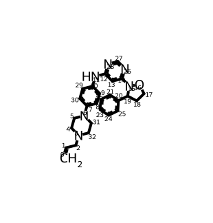 C=CCN1CCN(c2ccc(Nc3cc(N4OCCC4c4ccccc4)ncn3)cc2)CC1